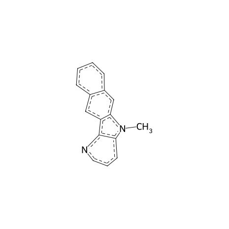 Cn1c2cc3ccccc3cc2c2ncccc21